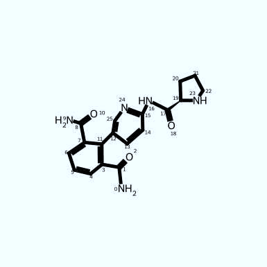 NC(=O)c1cccc(C(N)=O)c1-c1ccc(NC(=O)[C@H]2CCCN2)nc1